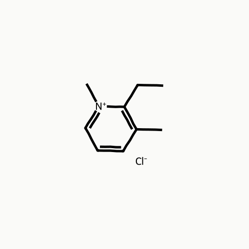 CCc1c(C)ccc[n+]1C.[Cl-]